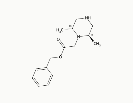 C[C@@H]1CNC[C@@H](C)N1CC(=O)OCc1ccccc1